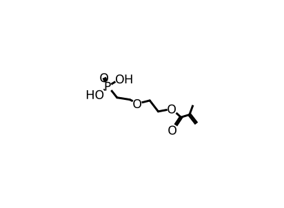 C=C(C)C(=O)OCCOCCP(=O)(O)O